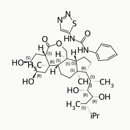 CC(C)[C@H](C)[C@@H](O)[C@H](O)[C@@H](C)[C@H]1CC[C@H]2[C@@H]3COC(=O)[C@H]4C[C@H](O)[C@H](O)C[C@]4(C)[C@H]3CC[C@]12C.O=C(Nc1ccccc1)Nc1cnns1